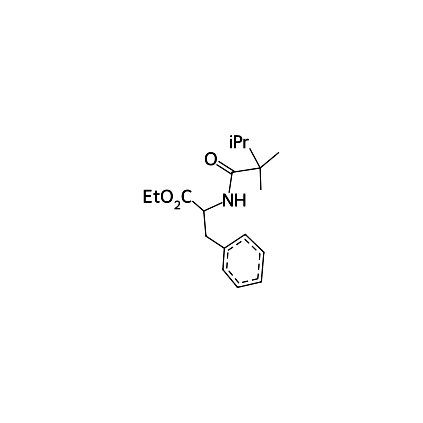 CCOC(=O)C(Cc1ccccc1)NC(=O)C(C)(C)C(C)C